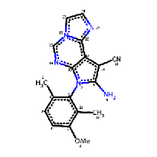 COc1ccc(C)c(-n2c(N)c(C#N)c3c2ncn2ccnc32)c1C